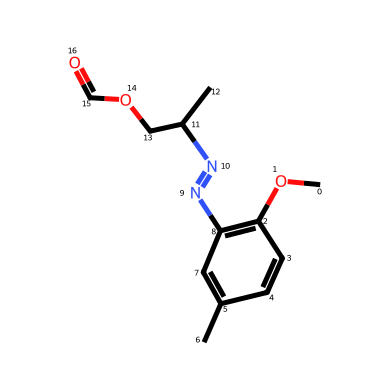 COc1ccc(C)cc1/N=N/C(C)COC=O